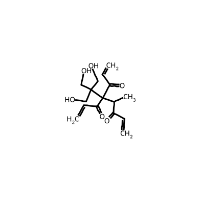 C=CC(=O)C(C)C(C(=O)C=C)(C(=O)C=C)C(CO)(CO)CO